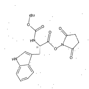 CC(C)(C)OC(=O)N[C@@H](Cc1c[nH]c2ccccc12)C(=O)ON1C(=O)CCC1=O